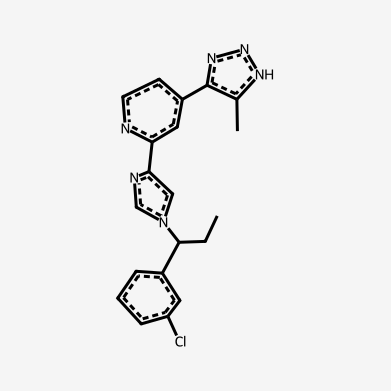 CCC(c1cccc(Cl)c1)n1cnc(-c2cc(-c3nn[nH]c3C)ccn2)c1